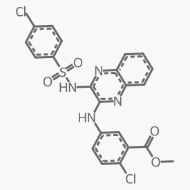 COC(=O)c1cc(Nc2nc3ccccc3nc2NS(=O)(=O)c2ccc(Cl)cc2)ccc1Cl